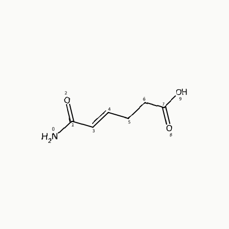 NC(=O)C=CCCC(=O)O